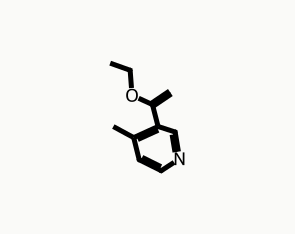 C=C(OCC)c1cnccc1C